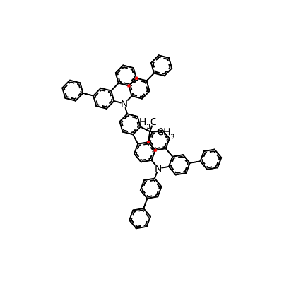 CC1(C)c2cc(N(c3ccc(-c4ccccc4)cc3)c3ccc(-c4ccccc4)cc3-c3ccccc3)ccc2-c2ccc(N(c3ccc(-c4ccccc4)cc3)c3ccc(-c4ccccc4)cc3-c3ccccc3)cc21